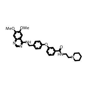 COc1cc2ncnc(NCc3ccc(Oc4cccc(C(=O)NCCN5CCCCC5)c4)cc3)c2cc1OC